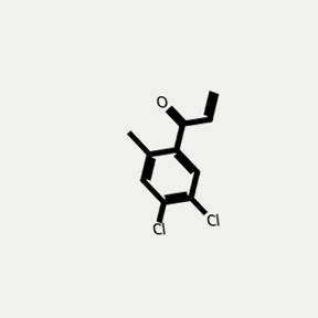 C=CC(=O)c1cc(Cl)c(Cl)cc1C